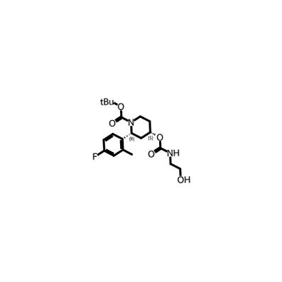 Cc1cc(F)ccc1[C@H]1C[C@@H](OC(=O)NCCO)CCN1C(=O)OC(C)(C)C